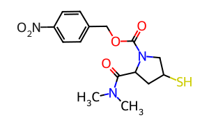 CN(C)C(=O)C1CC(S)CN1C(=O)OCc1ccc([N+](=O)[O-])cc1